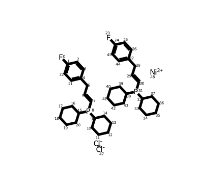 Fc1ccc(CC=CP(C2CCCCC2)C2CCCCC2)cc1.Fc1ccc(CC=CP(C2CCCCC2)C2CCCCC2)cc1.[Cl-].[Cl-].[Ni+2]